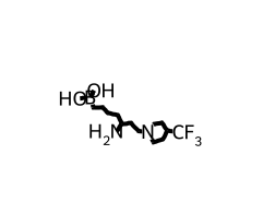 NC(CCCCB(O)O)CCN1CCC(C(F)(F)F)CC1